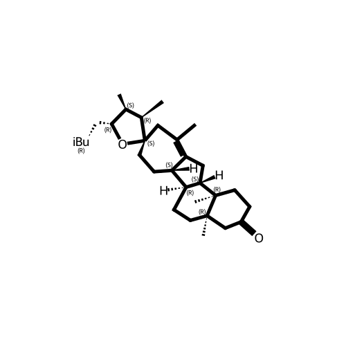 CC[C@@H](C)C[C@H]1O[C@]2(CC[C@@H]3C(=C(C)C2)C[C@H]2[C@H]3CC[C@]3(C)CC(=O)CC[C@]23C)[C@H](C)[C@@H]1C